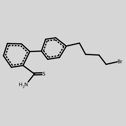 NC(=S)c1ccccc1-c1ccc(CCCCBr)cc1